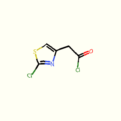 O=C(Cl)Cc1csc(Cl)n1